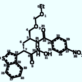 CCOCOC[C@H](C[C@H](C(=O)NO)c1csc2ccccc12)NC(=O)c1ccc([N+](=O)[O-])cc1